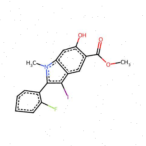 COC(=O)c1cc2c(I)c(-c3ccccc3F)n(C)c2cc1O